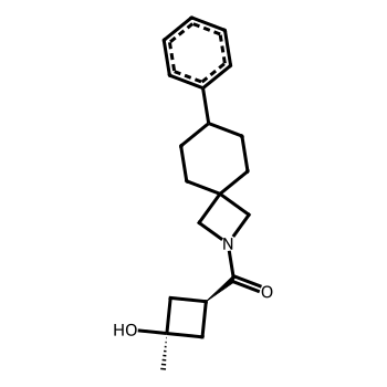 C[C@]1(O)C[C@@H](C(=O)N2CC3(CCC(c4ccccc4)CC3)C2)C1